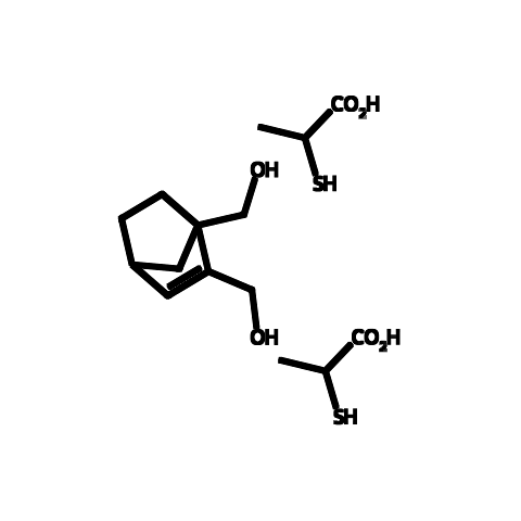 CC(S)C(=O)O.CC(S)C(=O)O.OCC1=CC2CCC1(CO)C2